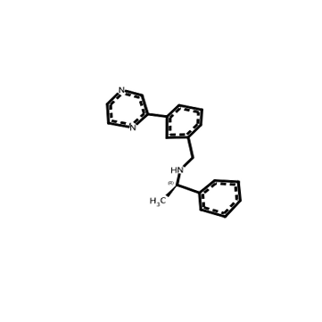 C[C@@H](NCc1cccc(-c2cnccn2)c1)c1ccccc1